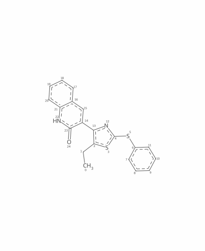 CCc1sc(Sc2ccccc2)nc1-c1cc2ccccc2[nH]c1=O